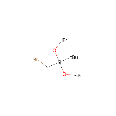 CC(C)O[Si](CBr)(OC(C)C)C(C)(C)C